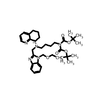 CCOCn1c(CN(CCCCN(C(=O)OC(C)(C)C)C(=O)OC(C)(C)C)[C@H]2CCCc3cccnc32)nc2ccccc21